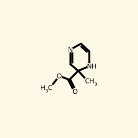 COC(=O)C1(C)C=NC=CN1